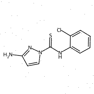 Nc1ccn(C(=S)Nc2ccccc2Cl)n1